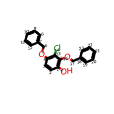 Oc1ccc(OCc2ccccc2)c(Cl)c1OCc1ccccc1